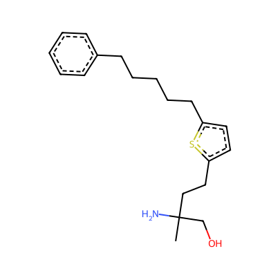 CC(N)(CO)CCc1ccc(CCCCCc2ccccc2)s1